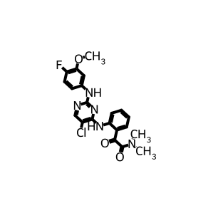 COc1cc(Nc2ncc(Cl)c(Nc3ccccc3C(=O)C(=O)N(C)C)n2)ccc1F